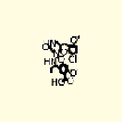 CCC(NC(=O)N1CC(=O)NCC(Cc2cc(Cl)ccc2OC)C1=O)c1ccc(OC)c(C(=O)O)c1